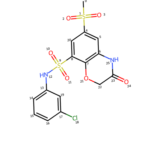 CS(=O)(=O)c1cc2c(c(S(=O)(=O)Nc3cccc(Cl)c3)c1)OCC(=O)N2